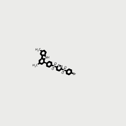 Cc1ccc2[nH]c3c(-c4ccc(S(=O)(=O)c5ccc(S(=O)(=O)c6ccc(Br)cc6)nn5)cc4)cc(C)cc3c2c1